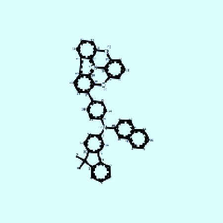 CC1(C)c2ccccc2-c2cc(N(c3ccc(-c4ccc5c6cccc7c6n6c5c4Oc4cccc(c4-6)O7)cc3)c3ccc4ccccc4c3)ccc21